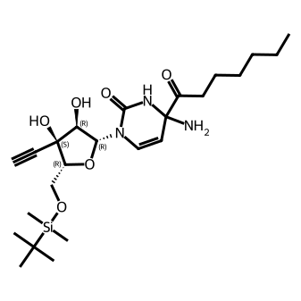 C#C[C@@]1(O)[C@@H](CO[Si](C)(C)C(C)(C)C)O[C@@H](N2C=CC(N)(C(=O)CCCCCC)NC2=O)[C@@H]1O